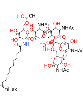 CCCCCC/C=C\CCCCCCCCCC(=O)NC1C(O)[C@H](O)C(COC(C)O)O[C@H]1O[C@@H]1C(CO)O[C@@H](O[C@@H]2C(CO)O[C@@H](O[C@@H]3C(CO)O[C@@H](O[C@@H]4C(CO)O[C@@H](O)C(NC(C)=O)C4O)C(NC(C)=O)C3O)C(NC(C)=O)C2O)C(NC(C)=O)C1O